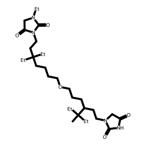 CCN1CC(=O)N(CCC(CC)(CC)CCCCOCCCC(CCN2CC(=O)NC2=O)C(C)(CC)CC)C1=O